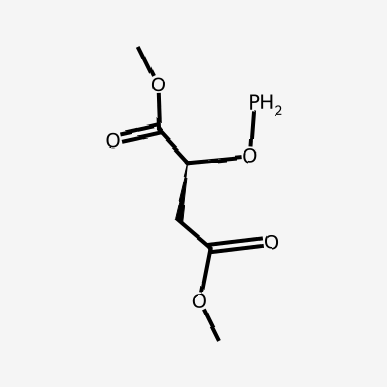 COC(=O)C[C@H](OP)C(=O)OC